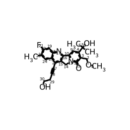 COCc1c(C(C)(C)O)cc2n(c1=O)Cc1c-2nc2cc(F)c(C)cc2c1C#CCCO